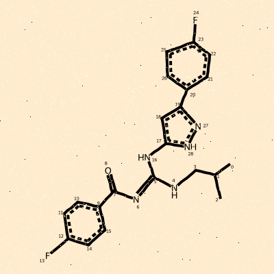 CC(C)CN/C(=N/C(=O)c1ccc(F)cc1)Nc1cc(-c2ccc(F)cc2)n[nH]1